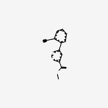 COC(=O)c1cc(-c2ccccc2C#N)n[nH]1